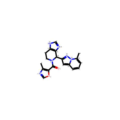 Cc1ncoc1C(=O)N1CCc2[nH]cnc2C1c1cc2cccc(C)n2n1